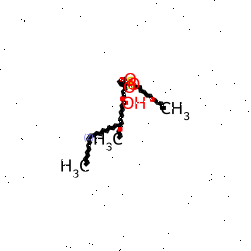 CCCCCCCC/C=C\CCCCCCCCC(CCCC)CCCCCCC(O)CCCCc1ccccc1S(=O)(=O)OCCCCCCCCCCCC